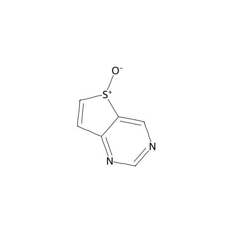 [O-][s+]1ccc2ncncc21